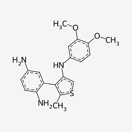 COc1ccc(Nc2csc(C)c2-c2cc(N)ccc2N)cc1OC